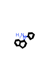 NN(C1=C2C=CC=CC2CC=C1)c1ccccc1